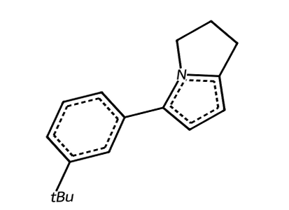 CC(C)(C)c1cccc(-c2ccc3n2CCC3)c1